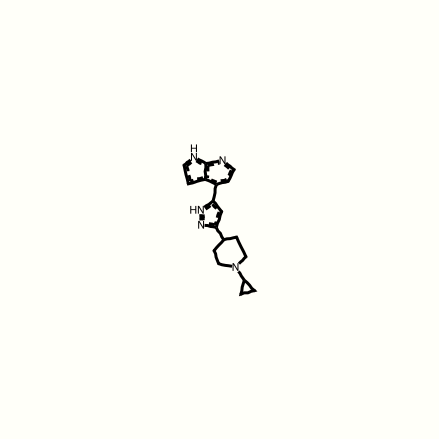 c1cc(-c2cc(C3CCN(C4CC4)CC3)n[nH]2)c2cc[nH]c2n1